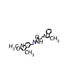 COc1cc(C)c2cc(/C=N/NC(=O)CCn3cc(C)c4ccccc43)ccc2n1